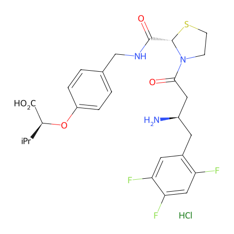 CC(C)[C@H](Oc1ccc(CNC(=O)[C@@H]2SCCN2C(=O)C[C@H](N)Cc2cc(F)c(F)cc2F)cc1)C(=O)O.Cl